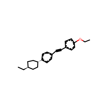 CCOc1ccc(C#Cc2ccc([C@H]3CC[C@H](CC)CC3)cc2)cc1